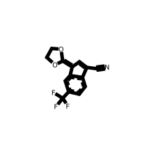 N#CC1=CC(=C2OCCO2)c2cc(C(F)(F)F)ccc21